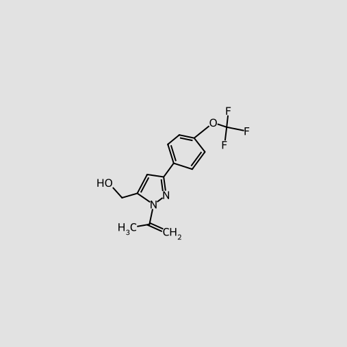 C=C(C)n1nc(-c2ccc(OC(F)(F)F)cc2)cc1CO